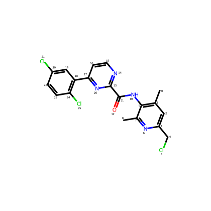 Cc1cc(CCl)nc(C)c1NC(=O)c1nccc(-c2cc(Cl)ccc2Cl)n1